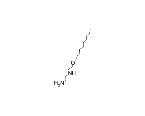 CCCCCCCCCCOCCNCCN